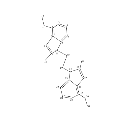 CCc1cccc2c1C=C(C)[C]2CC[C]1C(C)=Cc2c(CC)cccc21